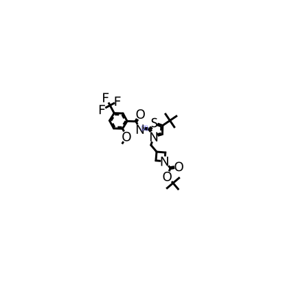 COc1ccc(C(F)(F)F)cc1C(=O)/N=c1\sc(C(C)(C)C)cn1CC1CN(C(=O)OC(C)(C)C)C1